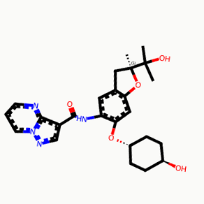 CC(C)(O)[C@]1(C)Cc2cc(NC(=O)c3cnn4cccnc34)c(O[C@H]3CC[C@H](O)CC3)cc2O1